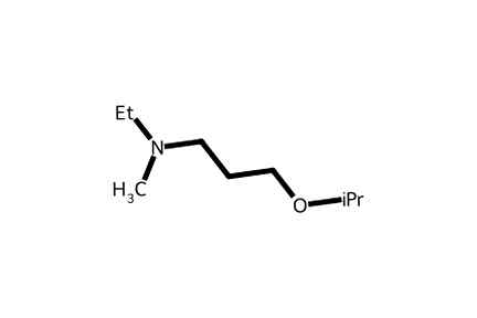 CCN(C)CCCOC(C)C